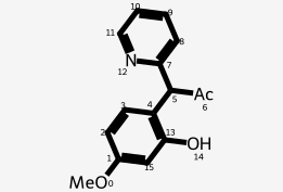 COc1ccc(C(C(C)=O)c2ccccn2)c(O)c1